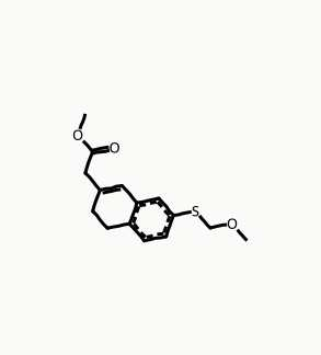 COCSc1ccc2c(c1)C=C(CC(=O)OC)CC2